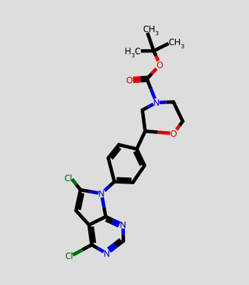 CC(C)(C)OC(=O)N1CCOC(c2ccc(-n3c(Cl)cc4c(Cl)ncnc43)cc2)C1